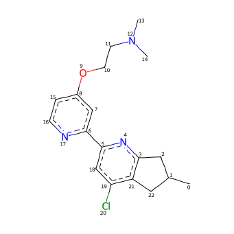 CC1Cc2nc(-c3cc(OCCN(C)C)ccn3)cc(Cl)c2C1